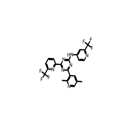 Cc1cnc(C)c(-c2nc(Nc3ccnc(C(F)(F)F)c3)nc(-c3cccc(C(F)(F)F)n3)n2)c1